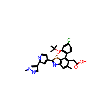 Cc1cc2nc(-c3ccnc(-c4cnn(C)c4)c3)sc2c(-c2ccc(Cl)cc2OC(C)(C)C)c1CC(=O)O